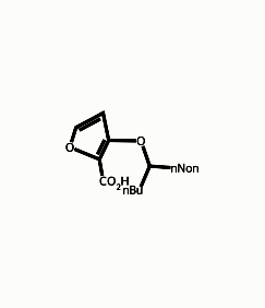 CCCCCCCCCC(CCCC)Oc1ccoc1C(=O)O